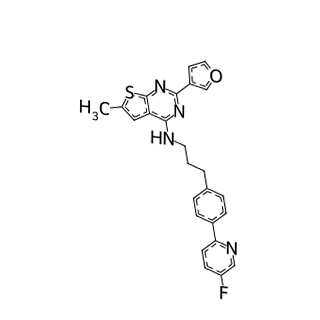 Cc1cc2c(NCCCc3ccc(-c4ccc(F)cn4)cc3)nc(-c3ccoc3)nc2s1